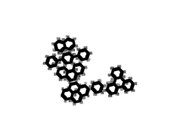 [c]1ccc2ccc3cccc4ccc1c2c43.[c]1cccc2c1ccc1ccccc12.[c]1ccccc1.c1ccc(-c2ccc(-c3ccccc3)cc2)cc1.c1ccc2c(c1)c1ccccc1c1ccccc21.c1ccc2ccccc2c1